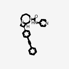 O=C(Nc1ccncc1)N1CCCCN2C[C@H](c3ccc(C#Cc4ccccc4)cc3)[C@@H]2C1